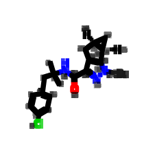 CC(C)(Cc1ccc(Cl)cc1)NC(=O)c1nn(C(C)(C)C)c2c1C[C@H]1C[C@@H]21